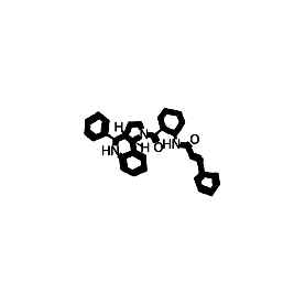 O=C(/C=C/c1ccccc1)N[C@@H]1CCCC[C@@H]1C(=O)N1CC[C@@H]2[C@H](c3ccccc3)Nc3ccccc3[C@@H]21